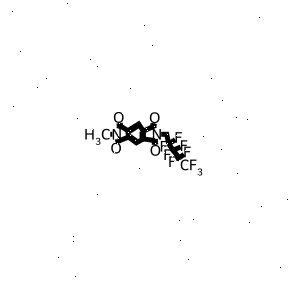 Cn1c(=O)c2cc3c(=O)n(CC(F)(F)C(F)(F)C(F)(F)C(F)(F)F)c(=O)c3cc2c1=O